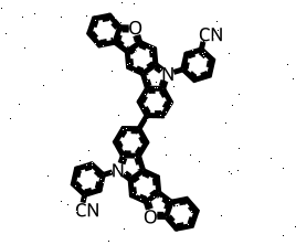 N#Cc1cccc(-n2c3ccc(-c4ccc5c(c4)c4cc6c(cc4n5-c4cccc(C#N)c4)oc4ccccc46)cc3c3cc4c(cc32)oc2ccccc24)c1